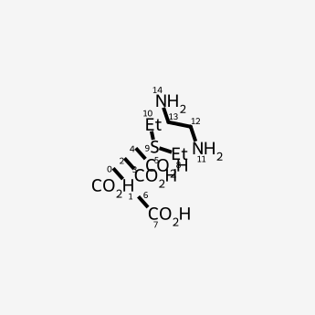 CC(=O)O.CC(=O)O.CC(=O)O.CC(=O)O.CCSCC.NCCN